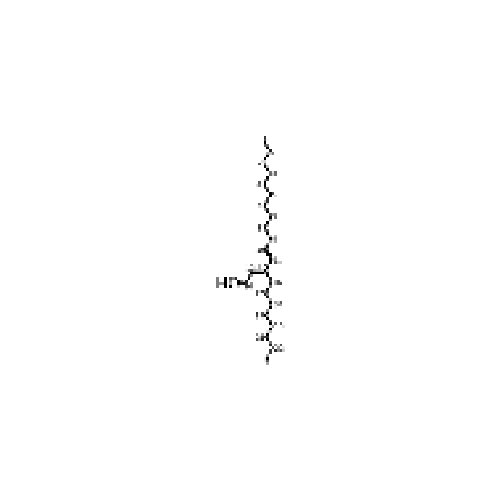 CCCCCCCCCCC=CC(=CCO)CCCCCCCC